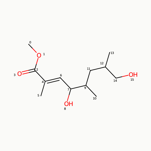 COC(=O)C(C)=CC(O)C(C)CC(C)CO